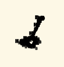 CC[C@H]1OC(=O)[C@H](C)C(=O)[C@H](C)[C@@H](O[C@@H]2O[C@H](C)C[C@H](N(C)C)[C@H]2O)[C@@](C)(OC)C[C@@H](C)C(=NOCCNCCCOCCCNCc2ccc3c(c2)c2ccccc2n3CC)[C@H](C)[C@@H](O)[C@]1(C)O